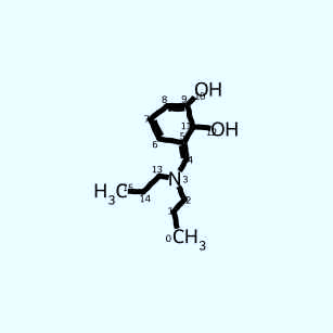 CCCN(C=C1C=CC=C(O)C1O)CCC